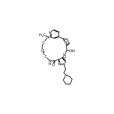 CN1CCOCCNC(=O)c2nn(CCN3CCCCC3)cc2NC(O)c2csc(n2)-c2ccnc1c2